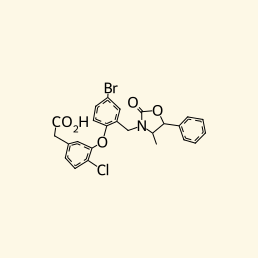 CC1C(c2ccccc2)OC(=O)N1Cc1cc(Br)ccc1Oc1cc(CC(=O)O)ccc1Cl